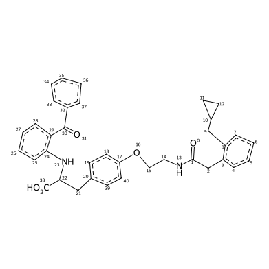 O=C(Cc1ccccc1CC1CC1)NCCOc1ccc(CC(Nc2ccccc2C(=O)c2ccccc2)C(=O)O)cc1